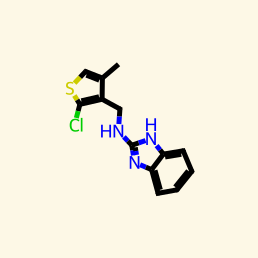 Cc1csc(Cl)c1CNc1nc2ccccc2[nH]1